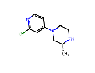 C[C@@H]1CN(c2ccnc(Cl)c2)CCN1